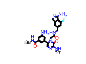 CC[C@H](C)NC(=O)c1cc(N)cc(-c2cnc(NC(C)C)c(=O)n2CC(=O)NCc2cc(F)c3c(c2)CN=C3N)c1